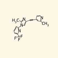 Cc1cc(C#Cc2cn(-c3cccc(C(F)(F)F)n3)c(C)n2)ccn1